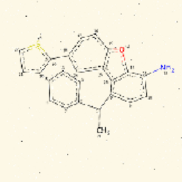 CC(c1ccccc1)c1ccc(N)c2oc3ccc(-c4cccs4)cc3c12